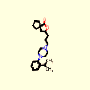 CC(C)c1ccccc1N1CCN(CCCC2CC3(CCCC3)C(=O)O2)CC1